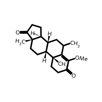 COC1=C2C(C)C[C@@H]3[C@@H](CC[C@]4(C)C(=O)CC[C@@H]34)[C@@]2(C)CCC1=O